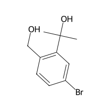 CC(C)(O)c1cc(Br)ccc1CO